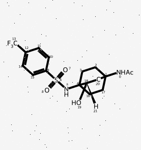 CC(=O)NC12CCC(NS(=O)(=O)c3ccc(C(F)(F)F)cc3)(CC1)[C@@H](O)C2